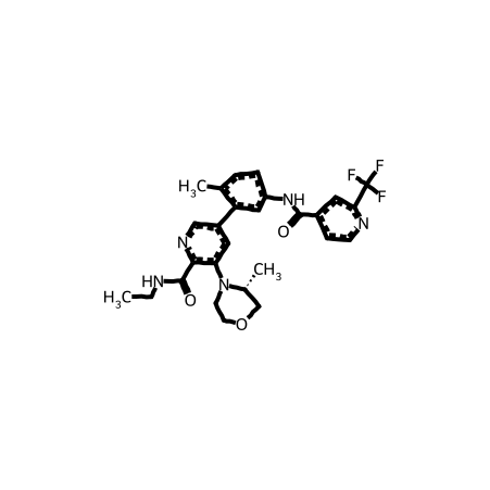 CCNC(=O)c1ncc(-c2cc(NC(=O)c3ccnc(C(F)(F)F)c3)ccc2C)cc1N1CCOC[C@H]1C